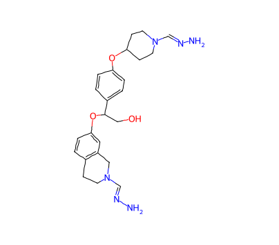 NN=CN1CCC(Oc2ccc(C(CO)Oc3ccc4c(c3)CN(C=NN)CC4)cc2)CC1